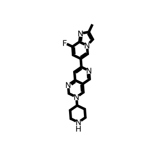 Cc1cn2cc(-c3cc4c(cn3)=CN(C3CCNCC3)CN=4)cc(F)c2n1